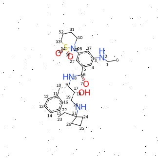 CCNc1cc(C(=O)N[C@@H](Cc2ccccc2)[C@H](O)CNC2(CC)CCC2)cc(N2CCCCS2(=O)=O)c1